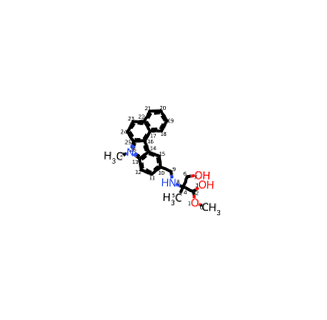 COC(O)C(C)(CO)NCc1ccc2c(c1)c1c3ccccc3ccc1n2C